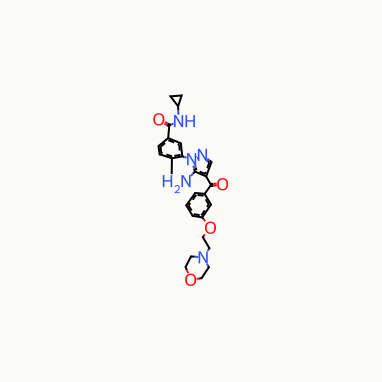 Cc1ccc(C(=O)NC2CC2)cc1-n1ncc(C(=O)c2cccc(OCCN3CCOCC3)c2)c1N